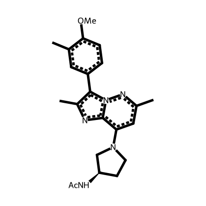 COc1ccc(-c2c(C)nc3c(N4CC[C@@H](NC(C)=O)C4)cc(C)nn23)cc1C